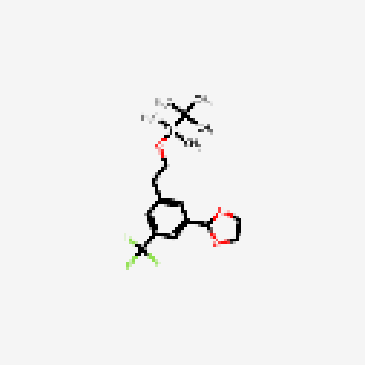 CC(C)(C)[Si](C)(C)OCCc1cc(C2OCCO2)cc(C(F)(F)F)c1